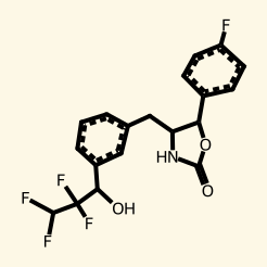 O=C1NC(Cc2cccc(C(O)C(F)(F)C(F)F)c2)C(c2ccc(F)cc2)O1